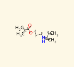 C=C(C)C(=O)OCCCNC(C)CC